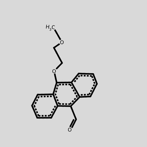 COCCOc1c2ccccc2c(C=O)c2ccccc12